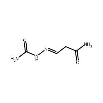 NC(=O)CC=NNC(N)=O